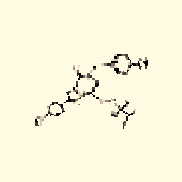 N#Cc1ccc(CN2CC(COC(F)(F)C(F)F)n3nc(-c4ccc(Cl)cc4)cc3C2=O)cc1